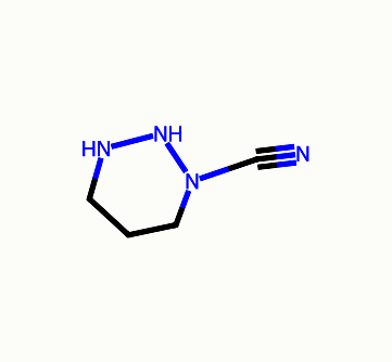 N#CN1CCCNN1